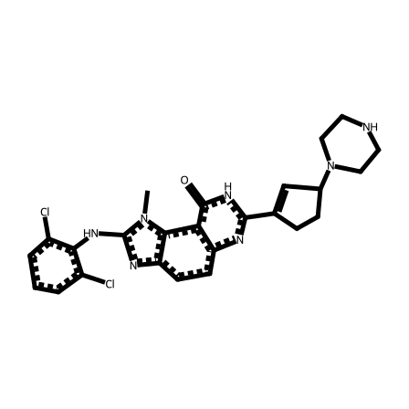 Cn1c(Nc2c(Cl)cccc2Cl)nc2ccc3nc(C4=CC(N5CCNCC5)CC4)[nH]c(=O)c3c21